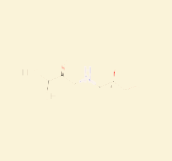 CC(C)C(=O)CNC[C@@H](O)CO